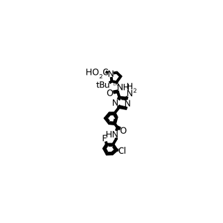 CC(C)(C)C1[C@@H](NC(=O)c2nc(-c3cccc(C(=O)NCc4c(F)cccc4Cl)c3)cnc2N)CCN1C(=O)O